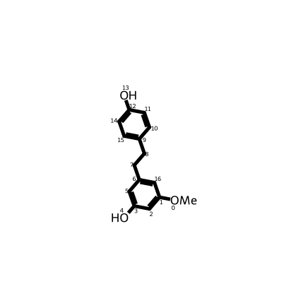 COc1cc(O)cc(CCc2ccc(O)cc2)c1